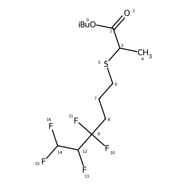 CC(C)COC(=O)C(C)SCCCC(F)(F)C(F)C(F)F